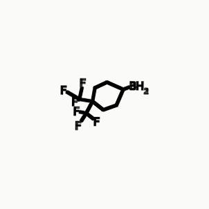 BC1CCC(C(F)(F)F)(C(F)(F)F)CC1